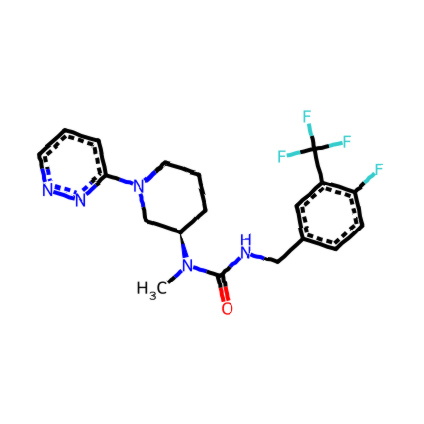 CN(C(=O)NCc1ccc(F)c(C(F)(F)F)c1)[C@@H]1CCCN(c2cccnn2)C1